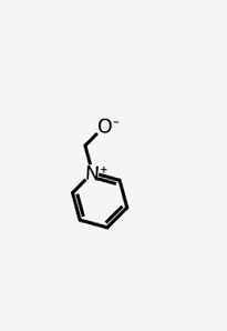 [O-]C[n+]1ccccc1